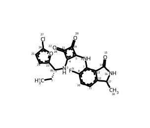 CC[C@@H](Nc1c(Nc2c(F)ccc3c2C(=O)NC3C)c(=O)c1=O)c1ccc(Cl)o1